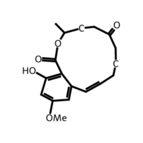 COc1cc(O)c2c(c1)/C=C\CCCC(=O)CCC(C)OC2=O